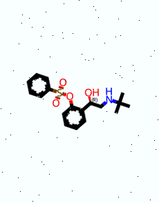 CC(C)(C)NC[C@H](O)c1ccccc1OS(=O)(=O)c1ccccc1